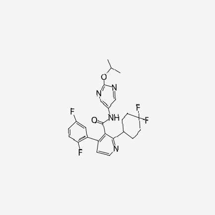 CC(C)Oc1ncc(NC(=O)c2c(-c3cc(F)ccc3F)ccnc2C2CCC(F)(F)CC2)cn1